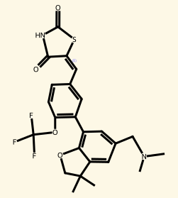 CN(C)Cc1cc(-c2cc(/C=C3/SC(=O)NC3=O)ccc2OC(F)(F)F)c2c(c1)C(C)(C)CO2